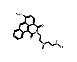 CCNCCN(C)CCN1C(=O)c2ccc(OC)c3cc4ccccc4c(c23)C1=O